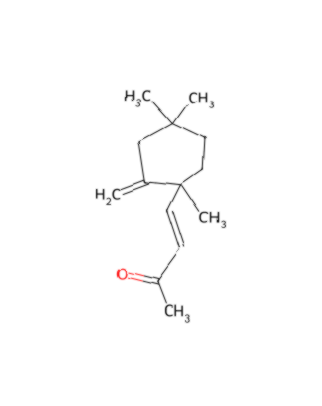 C=C1CC(C)(C)CCC1(C)C=CC(C)=O